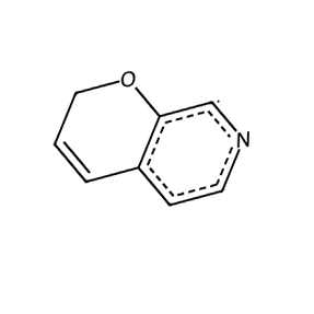 [c]1nccc2c1OCC=C2